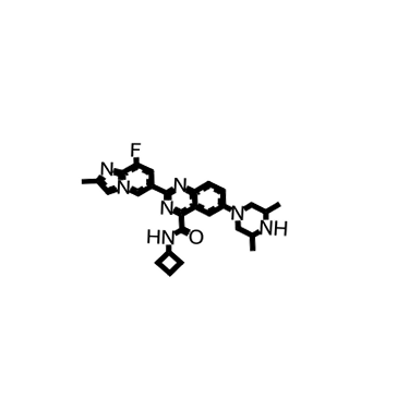 Cc1cn2cc(-c3nc(C(=O)NC4CCC4)c4cc(N5CC(C)NC(C)C5)ccc4n3)cc(F)c2n1